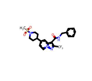 CS(=O)(=O)N1CCC(c2ccn3nc(C(F)(F)F)c(C(=O)NCc4ccccc4)c3c2)CC1